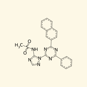 CS(=O)(=O)Nc1ncnn1-c1nc(-c2ccccc2)nc(-c2ccc3ccccc3c2)n1